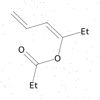 C=CC=C(CC)OC(=O)CC